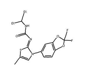 CCC(CC)NC(=O)/N=c1\sc(C)cn1-c1ccc2c(c1)OC(F)(F)O2